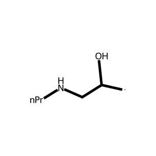 [CH2]C(O)CNCCC